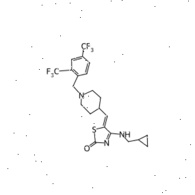 O=C1N=C(NCC2CC2)C(=CC2CCN(Cc3ccc(C(F)(F)F)cc3C(F)(F)F)CC2)S1